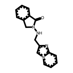 O=C1c2ccccc2CN1NCc1cn2ccccc2n1